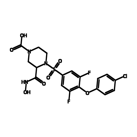 O=C(NO)C1CN(C(=O)O)CCN1S(=O)(=O)c1cc(F)c(Oc2ccc(Cl)cc2)c(F)c1